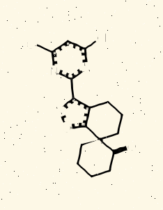 O=C1CCCC[C@@]12CCCc1c(-c3nc(Cl)cc(Cl)n3)noc12